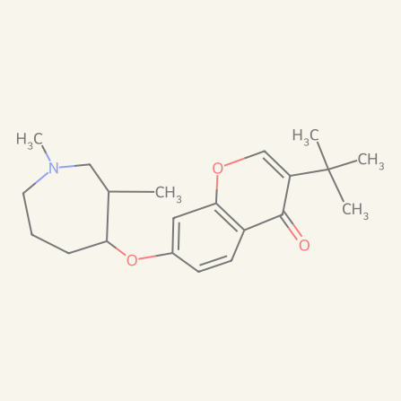 CC1CN(C)CCCC1Oc1ccc2c(=O)c(C(C)(C)C)coc2c1